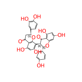 O=C1C[C@@H](c2ccc(O)c(O)c2)Oc2c1c(O)cc(O)c2[C@H]1C(=O)c2c(O)cc(O)cc2O[C@@H]1c1ccc(O)cc1